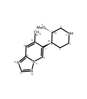 CO[C@@H]1CNCC[C@H]1c1cn2ncnc2cc1C